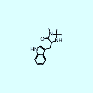 CN1C(=O)[C@H](Cc2c[nH]c3ccccc23)NC1(C)C